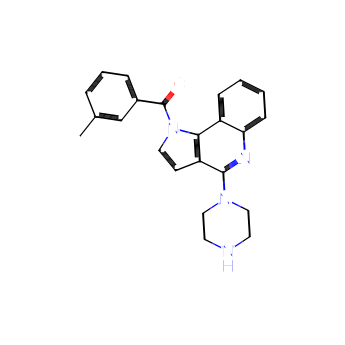 Cc1cccc(C(=O)n2ccc3c(N4CCNCC4)nc4ccccc4c32)c1